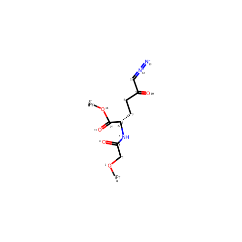 CC(C)OCC(=O)N[C@@H](CCC(=O)C=[N+]=[N-])C(=O)OC(C)C